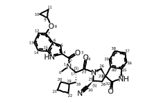 CN(C(=O)c1cc2c(OC3CC3)cccc2[nH]1)[C@@H](CC1CCC1)C(=O)N1C[C@]2(C[C@H]1C#N)C(=O)Nc1ccccc12